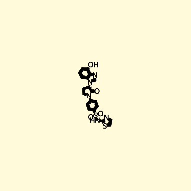 O=C1[C@@H](n2cnc3c(O)cccc32)CCN1c1ccc(S(=O)(=O)Nc2nccs2)cc1